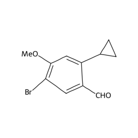 COc1cc(C2CC2)c(C=O)cc1Br